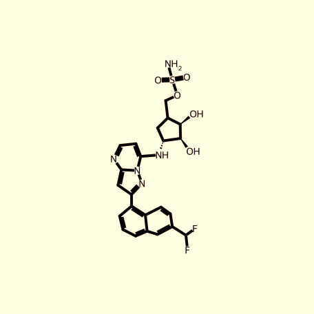 NS(=O)(=O)OCC1C[C@@H](Nc2ccnc3cc(-c4cccc5cc(C(F)F)ccc45)nn23)[C@H](O)[C@@H]1O